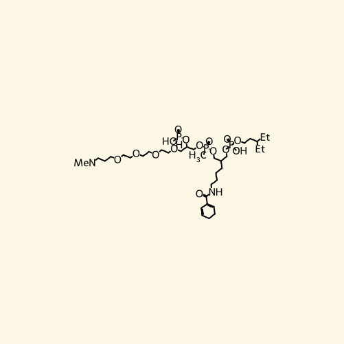 CCC(CC)CCOP(=O)(O)OCC(CCCCNC(=O)C1=CCCC=C1)COP(C)(=O)OCC(COCCOCCOCCOCCCNC)O[PH](=O)O